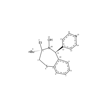 CCCC[C@@]1(CC)CSc2ccccc2[C@H](c2ccncc2)N1O